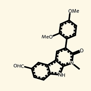 COc1ccc(-c2cc3c4cc(C=O)ccc4[nH]c3n(C)c2=O)c(OC)c1